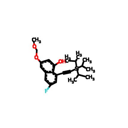 COCOc1cc(O)c2c(C#C[Si](C(C)C)(C(C)C)C(C)C)cc(F)cc2c1